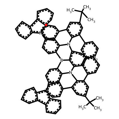 Cc1cc2c3c(c1)N(c1c(-c4ccccc4)cc(C(C)(C)C)cc1-c1ccccc1)c1cc(-n4c5ccccc5c5ccccc54)ccc1B3c1ccc(-n3c4ccccc4c4ccccc43)cc1N2c1c(-c2ccccc2)cc(C(C)(C)C)cc1-c1ccccc1